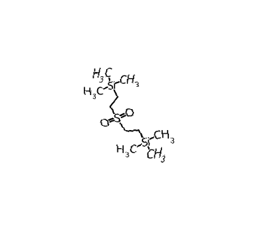 C[Si](C)(C)CCS(=O)(=O)CC[Si](C)(C)C